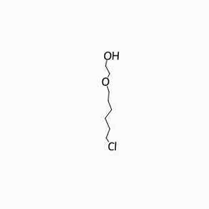 OCCOCCCCCCCl